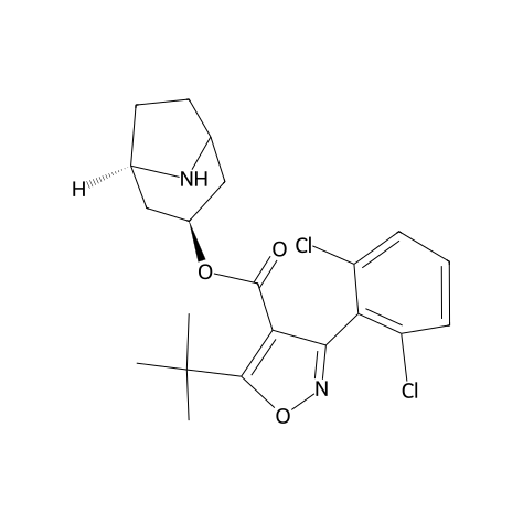 CC(C)(C)c1onc(-c2c(Cl)cccc2Cl)c1C(=O)O[C@@H]1CC2CC[C@H](C1)N2